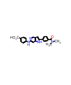 CN(C)C(=O)c1ccc(-c2cc3cnc(Nc4ccc(C(=O)O)cc4)cc3[nH]2)cc1